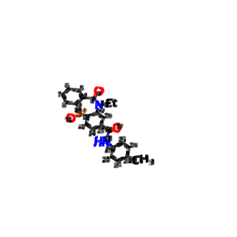 CCN1C(=O)c2ccccc2[S+]([O-])c2ccc(C(=O)Nc3ccc(C)cc3)cc21